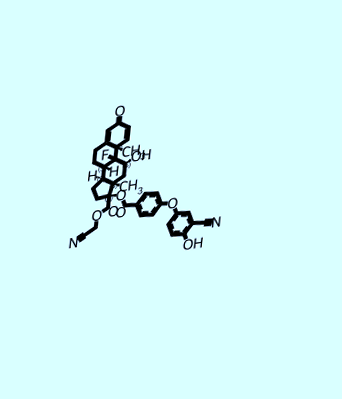 C[C@]12C=CC(=O)C=C1CC[C@H]1[C@@H]3CC[C@@](OC(=O)c4ccc(Oc5ccc(O)c(C#N)c5)cc4)(C(=O)OCC#N)[C@@]3(C)C[C@H](O)C12F